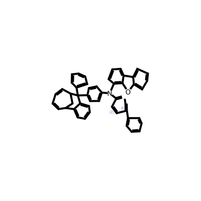 C=C(/C=C\C(=C/C)c1ccccc1)N(c1ccc(C2(c3ccccc3)c3ccccc3C3C=CC=CC2C3)cc1)c1cccc2c1oc1ccccc12